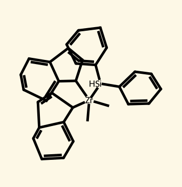 [CH3][Zr]([CH3])([CH]1C=Cc2ccccc21)([CH]1C=Cc2ccccc21)[SiH](c1ccccc1)c1ccccc1